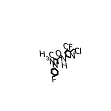 Cc1nn(-c2ccc(F)cc2)cc1C(=O)Nc1cnc(CCl)c(C(F)(F)F)c1